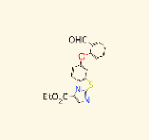 CCOC(=O)c1cnc2sc3cc(Oc4ccccc4C=O)ccc3n12